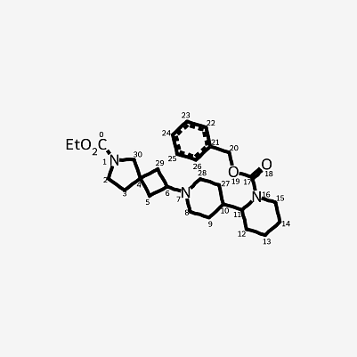 CCOC(=O)N1CCC2(CC(N3CCC(C4CCCCN4C(=O)OCc4ccccc4)CC3)C2)C1